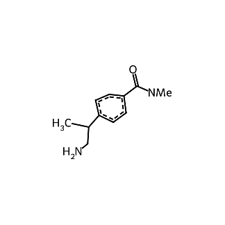 CNC(=O)c1ccc(C(C)CN)cc1